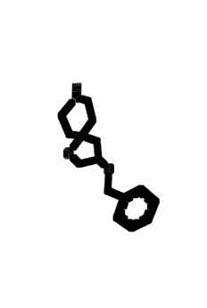 c1ccc(COC2COC3(CCNCC3)C2)cc1